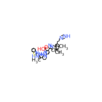 Cc1c(Nc2nc3ccccc3s2)nnc2c1CCCN2c1ccc(-c2cnn(CC34CC5(C)CC(C)(CC(CCCN6CCNCC6)(C5)C3)C4)c2C)c(C(=O)O)n1